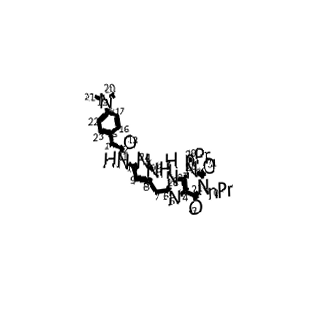 CCCn1c(=O)c2nc(Cc3cc(NC(=O)Cc4ccc(N(C)C)cc4)n[nH]3)[nH]c2n(CCC)c1=O